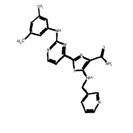 Cc1cc(C)cc(Nc2nccc(-c3nc(C(N)=O)c(NCc4cccnc4)s3)n2)c1